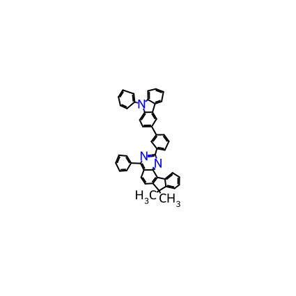 CC1(C)c2ccccc2-c2c1ccc1c(-c3ccccc3)nc(-c3cccc(-c4ccc5c(c4)c4ccccc4n5-c4ccccc4)c3)nc21